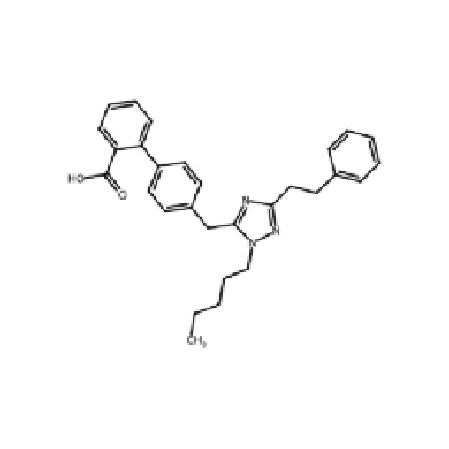 CCCCCn1nc(CCc2ccccc2)nc1Cc1ccc(-c2ccccc2C(=O)O)cc1